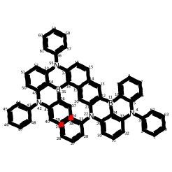 c1ccc(N2c3ccccc3B3c4cc5ccc6c(c5cc4N(c4ccccc4)c4cccc2c43)B2c3ccccc3N(c3ccccc3)c3cccc(c32)N6c2ccccc2)cc1